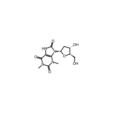 Cn1c(=O)c2[nH]c(=O)n([C@H]3C[C@H](O)[C@@H](CO)O3)c2n(C)c1=O